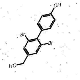 OCc1cc(Br)c(-c2ccc(O)cc2)c(Br)c1